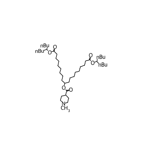 CCCCC(CCCC)OC(=O)CCCCCCCCC(CCCCCCCCC(=O)OC(CCCC)CCCC)OC(=O)C1CCN(C)CC1